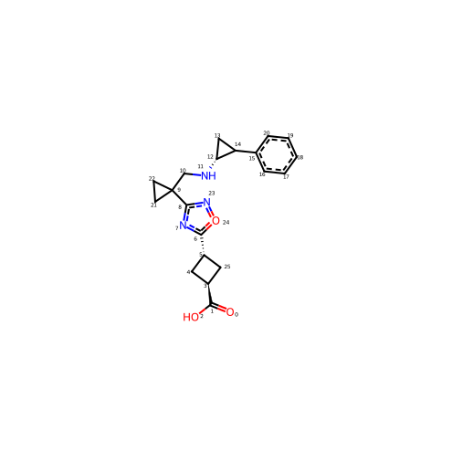 O=C(O)[C@H]1C[C@H](c2nc(C3(CN[C@@H]4CC4c4ccccc4)CC3)no2)C1